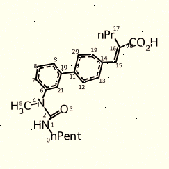 CCCCCNC(=O)N(C)c1cccc(-c2ccc(/C=C(\CCC)C(=O)O)cc2)c1